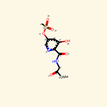 COC(=O)CNC(=O)c1ncc(OS(C)(=O)=O)cc1O